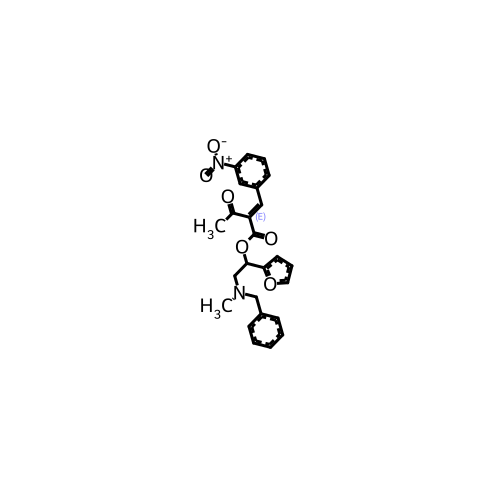 CC(=O)/C(=C\c1cccc([N+](=O)[O-])c1)C(=O)OC(CN(C)Cc1ccccc1)c1ccco1